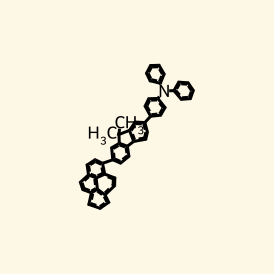 CC1(C)c2cc(-c3ccc(N(c4ccccc4)c4ccccc4)cc3)ccc2-c2ccc(-c3ccc4ccc5cccc6ccc3c4c56)cc21